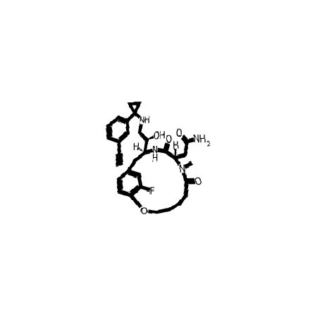 C#Cc1cccc(C2(NC[C@@H](O)[C@@H]3Cc4ccc(c(F)c4)OCCCCC(=O)N(C)[C@@H](CC(N)=O)C(=O)N3)CC2)c1